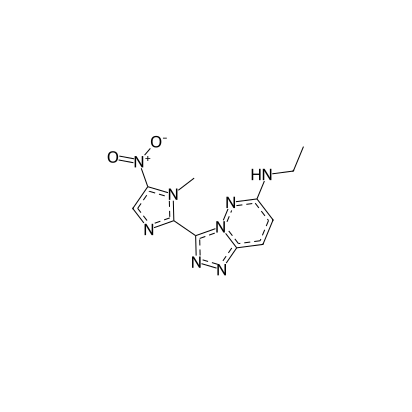 CCNc1ccc2nnc(-c3ncc([N+](=O)[O-])n3C)n2n1